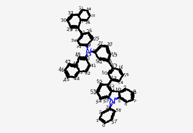 c1ccc(-n2c3ccccc3c3c(-c4cccc(-c5cccc(N(c6ccc(-c7cccc8ccccc78)cc6)c6ccc7ccccc7c6)c5)c4)cccc32)cc1